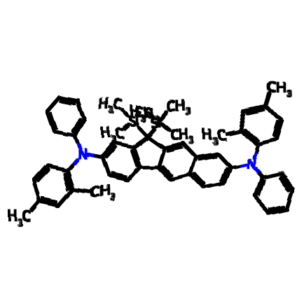 Cc1ccc(N(c2ccccc2)c2ccc3c(c2)C([Si](C)(C)C)([Si](C)(C)C)c2cc4cc(N(c5ccccc5)c5ccc(C)cc5C)ccc4cc2-3)c(C)c1